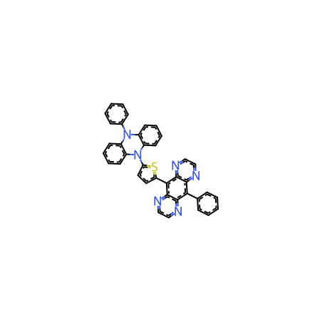 c1ccc(-c2c3nccnc3c(-c3ccc(N4c5ccccc5N(c5ccccc5)c5ccccc54)s3)c3nccnc23)cc1